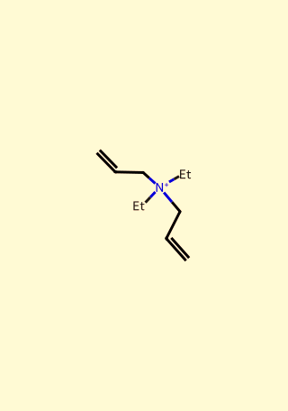 C=CC[N+](CC)(CC)CC=C